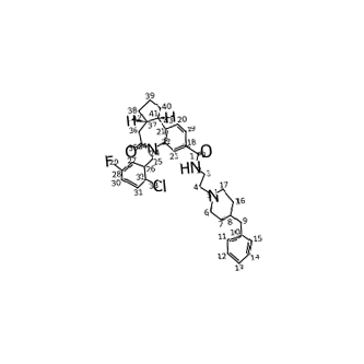 O=C(NCCN1CCC(Cc2ccccc2)CC1)c1ccc2c(c1)N(CC1C=C(F)C=CC1Cl)C(=O)C[C@@H]1CCC[C@H]21